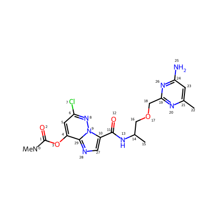 CNC(=O)Oc1cc(Cl)nn2c(C(=O)NC(C)COCc3nc(C)cc(N)n3)cnc12